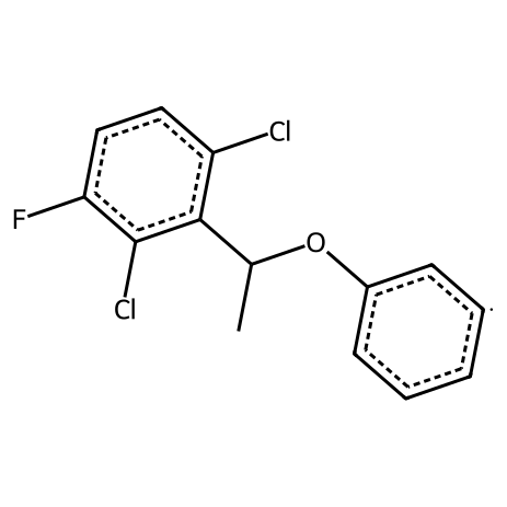 CC(Oc1c[c]ccc1)c1c(Cl)ccc(F)c1Cl